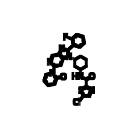 O=C(N[C@H]1CCC[C@@H](n2c(-c3ccccc3F)nc3cnc(-n4ccccc4=O)cc32)C1)c1ncc(Cl)s1